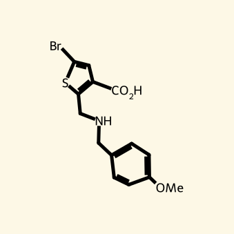 COc1ccc(CNCc2sc(Br)cc2C(=O)O)cc1